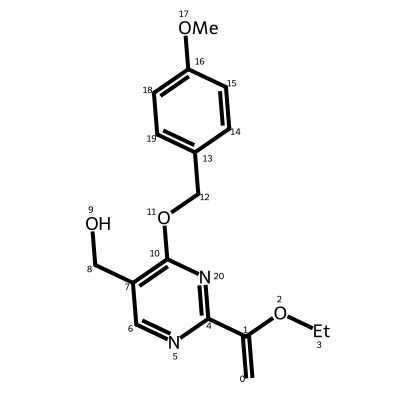 C=C(OCC)c1ncc(CO)c(OCc2ccc(OC)cc2)n1